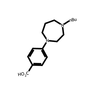 CCCCN1CCCN(c2ccc(C(=O)O)cc2)CC1